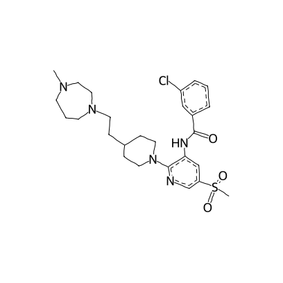 CN1CCCN(CCC2CCN(c3ncc(S(C)(=O)=O)cc3NC(=O)c3cccc(Cl)c3)CC2)CC1